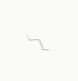 N#CC=CCCl